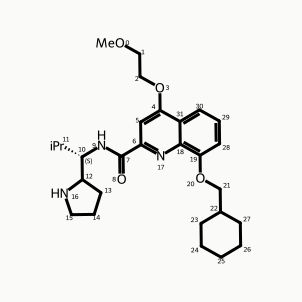 COCCOc1cc(C(=O)N[C@@H](C(C)C)C2CCCN2)nc2c(OCC3CCCCC3)cccc12